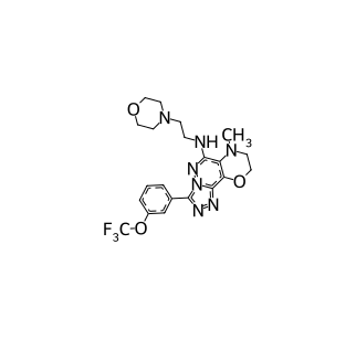 CN1CCOc2c1c(NCCN1CCOCC1)nn1c(-c3cccc(OC(F)(F)F)c3)nnc21